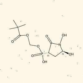 CC(C)(C)C(=O)OCOP(=O)(O)[C@H]1C[C@H](O)N(O)C1=O